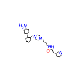 Nc1ccc(-c2ccccc2CN2CCN(CCCCNC(=O)C=Cc3cccnc3)CC2)cc1